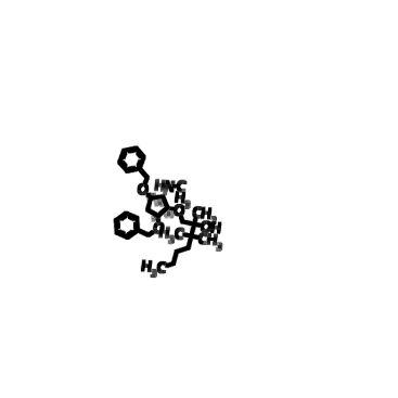 CCCCC(C)(C)C(C)(O)CO[C@@H]1[C@@H](NC)[C@H](OCc2ccccc2)C[C@@H]1OCc1ccccc1